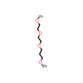 CC(C)OCCCOCCOCCOC(C)C